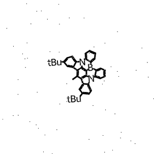 Cc1c2c3cc(C(C)(C)C)ccc3n3c2c2c4c1c1cc(C(C)(C)C)ccc1n4-c1ccccc1B2c1ccccc1-3